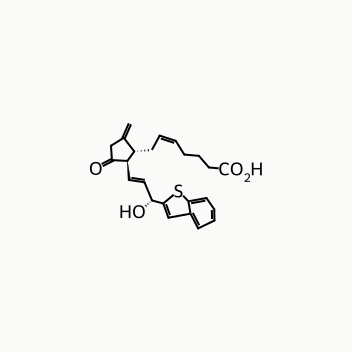 C=C1CC(=O)[C@H](/C=C/[C@@H](O)c2cc3ccccc3s2)[C@H]1C/C=C\CCCC(=O)O